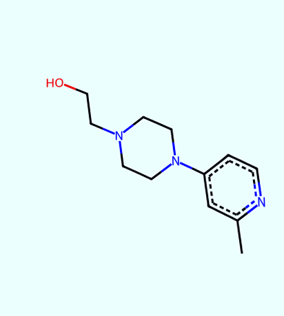 Cc1cc(N2CCN(CCO)CC2)ccn1